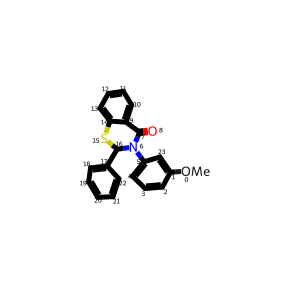 COc1cccc(N2C(=O)c3ccccc3SC2c2ccccc2)c1